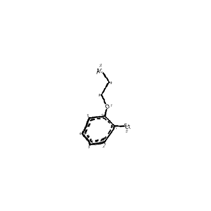 CCc1ccccc1OCCC(C)=O